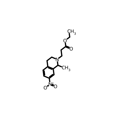 CCOC(=O)CCN1CCc2ccc([N+](=O)[O-])cc2C1C